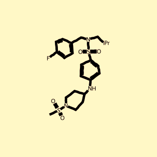 CC(C)CN(Cc1ccc(F)cc1)S(=O)(=O)c1ccc(NC2CCN(S(C)(=O)=O)CC2)cc1